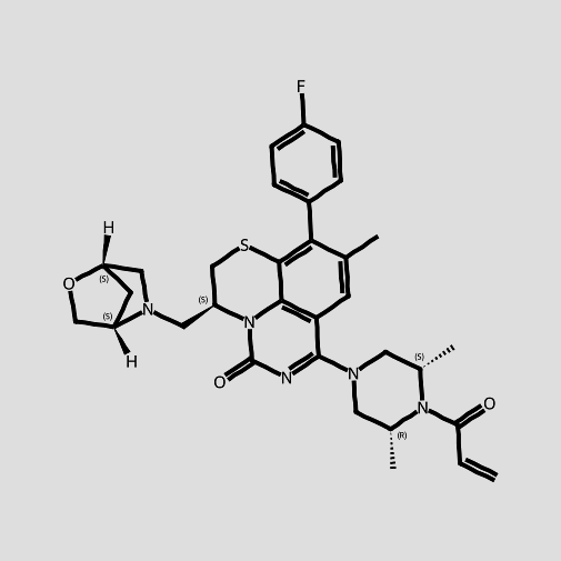 C=CC(=O)N1[C@H](C)CN(c2nc(=O)n3c4c(c(-c5ccc(F)cc5)c(C)cc24)SC[C@@H]3CN2C[C@@H]3C[C@H]2CO3)C[C@@H]1C